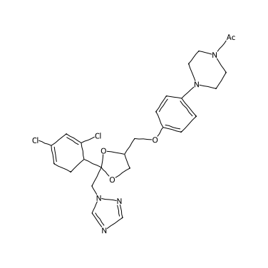 CC(=O)N1CCN(c2ccc(OCC3COC(Cn4cncn4)(C4CC=C(Cl)C=C4Cl)O3)cc2)CC1